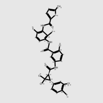 Cc1ccc(C(=O)Nc2c(F)ccc(NC(=O)c3cc(NC(=O)[C@H]4[C@H](c5ccc(F)c(C(F)(F)F)c5)C4(Cl)Cl)ccc3Cl)c2F)s1